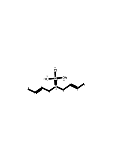 CC=CCS(CC=CC)=P(O)(O)Cl